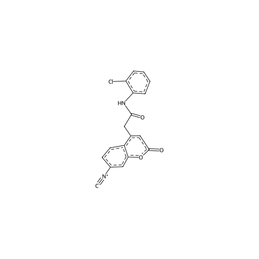 [C-]#[N+]c1ccc2c(CC(=O)Nc3ccccc3Cl)cc(=O)oc2c1